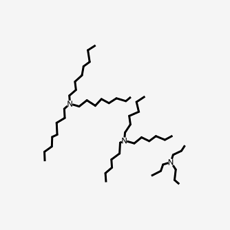 CCCCCCCCN(CCCCCCCC)CCCCCCCC.CCCCCCN(CCCCCC)CCCCCC.CCCN(CCC)CCC